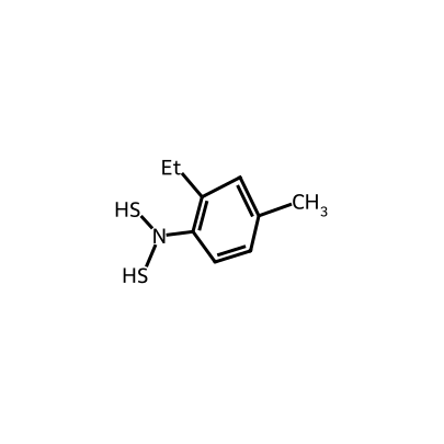 CCc1cc(C)ccc1N(S)S